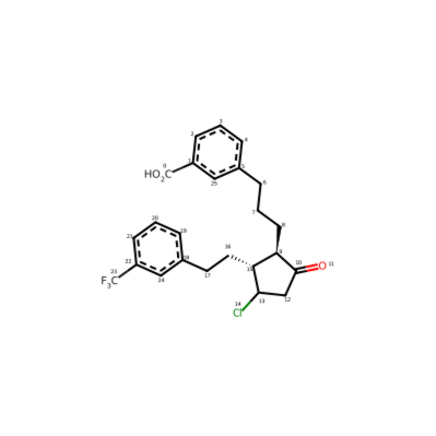 O=C(O)c1cccc(CCC[C@H]2C(=O)CC(Cl)[C@@H]2CCc2cccc(C(F)(F)F)c2)c1